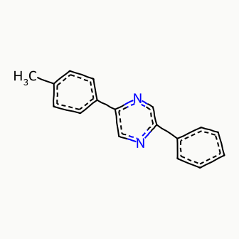 Cc1ccc(-c2cnc(-c3ccccc3)cn2)cc1